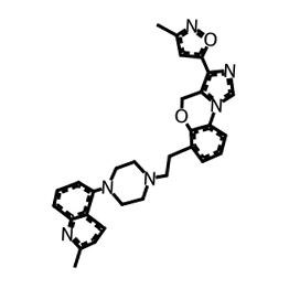 Cc1cc(-c2ncn3c2COc2c(CCN4CCN(c5cccc6nc(C)ccc56)CC4)cccc2-3)on1